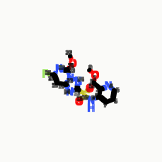 COCc1ncccc1NS(=O)(=O)c1nc2cc(F)nc(OC)n2n1